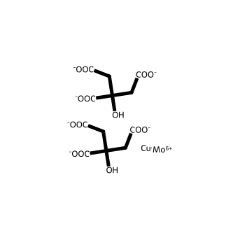 O=C([O-])CC(O)(CC(=O)[O-])C(=O)[O-].O=C([O-])CC(O)(CC(=O)[O-])C(=O)[O-].[Cu].[Mo+6]